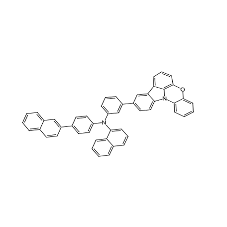 c1cc(-c2ccc3c(c2)c2cccc4c2n3-c2ccccc2O4)cc(N(c2ccc(-c3ccc4ccccc4c3)cc2)c2cccc3ccccc23)c1